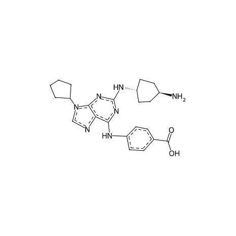 N[C@H]1CC[C@H](Nc2nc(Nc3ccc(C(=O)O)cc3)c3ncn(C4CCCC4)c3n2)CC1